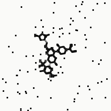 C=CC(=O)N1CCN(c2nc(OC[C@@H]3C[C@@H](F)CN3C)nc3c2C[C@@H](C)[C@H](c2nc(NC)cc(C)c2C(F)(F)F)C3)[C@@H](C)C1